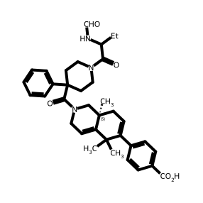 CCC(NC=O)C(=O)N1CCC(C(=O)N2CC=C3C(C)(C)C(c4ccc(C(=O)O)cc4)=CC[C@]3(C)C2)(c2ccccc2)CC1